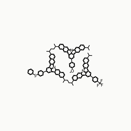 COc1ccc(-c2cc3c4cc5cc(C(C)C)ccc5cc4n4c5cc6ccc(C(C)CCC(C)c7ccc8cc9c(cc8c7)c7cc(-c8ccc(Sc%10ccccc%10)cc8)cc8c%10cc%11cc(C(C)CCC(C)c%12ccc%13cc%14c(cc%13c%12)c%12cc(-c%13ccc(C(F)(F)F)cc%13)cc%13c%15cc%16cc(C(C)C)ccc%16cc%15n%14c%13%12)ccc%11cc%10n9c78)cc6cc5c(c2)c34)cc1